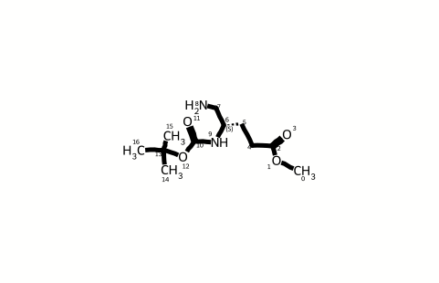 COC(=O)CC[C@@H](CN)NC(=O)OC(C)(C)C